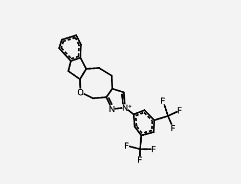 FC(F)(F)c1cc([N+]2=CC3CCC4c5ccccc5CC4OCC3=N2)cc(C(F)(F)F)c1